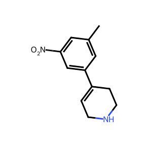 Cc1cc(C2=CCNCC2)cc([N+](=O)[O-])c1